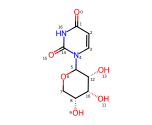 O=c1ccn(C2OC[C@@H](O)[C@@H](O)[C@H]2O)c(=O)[nH]1